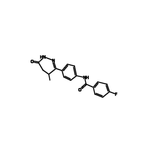 CC1CC(=O)NN=C1c1ccc(NC(=O)c2ccc(F)cc2)cc1